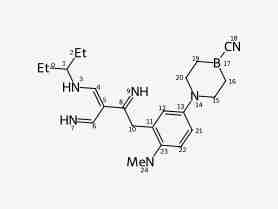 CCC(CC)N/C=C(\C=N)C(=N)Cc1cc(N2CCB(C#N)CC2)ccc1NC